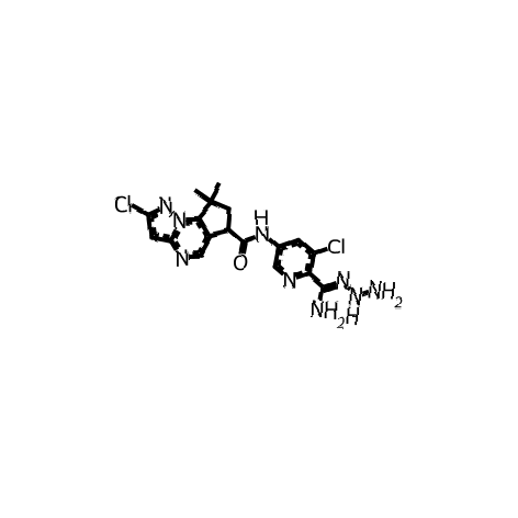 CC1(C)CC(C(=O)Nc2cnc(/C(N)=N/NN)c(Cl)c2)c2cnc3cc(Cl)nn3c21